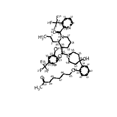 CCC[C@H]1N(C(=O)c2ncccc2C(F)(F)F)CCC[C@@]1(Oc1csc(C(F)(F)F)c1)C(=O)N1CCC(O)(c2ccccc2OCCCCCC(C)=O)CC1